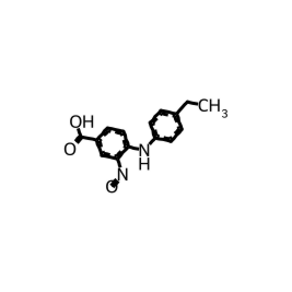 CCc1ccc(Nc2ccc(C(=O)O)cc2N=O)cc1